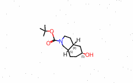 CC(C)(C)OC(=O)N1CC[C@@H]2C[C@@H](O)CC[C@@H]2C1